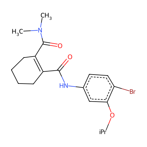 CC(C)Oc1cc(NC(=O)C2=C(C(=O)N(C)C)CCCC2)ccc1Br